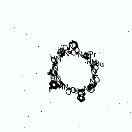 C=C(C)C[C@@H]1NC(=O)[C@H](Cc2cccc(I)c2)NC(=O)CN(C)C(=O)[C@H](CC2CCCC2)N(C)C(=O)[C@@H]2CCN2C(=O)[C@H](C)N(C)C(=O)[C@H]([C@@H](C)CC)NC(=O)[C@H](CC(C)C)N(C)C(=O)C[C@@H](C(=O)N2CCCCC2)N(C)C(=O)[C@H](CC(C)C)NC(=O)C(C)(C)N(C)C1=O